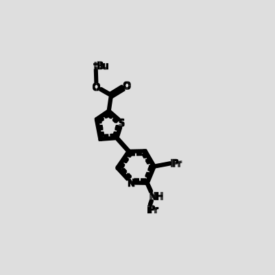 CC(C)Nc1ncc(-c2ccc(C(=O)OC(C)(C)C)s2)cc1C(C)C